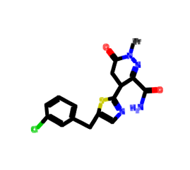 CC(C)N1N=C(C(N)=O)C(c2ncc(Cc3cccc(Cl)c3)s2)CC1=O